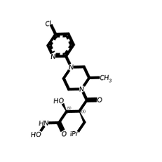 CC(C)C[C@H](C(=O)N1CCN(c2ccc(Cl)cn2)CC1C)[C@H](O)C(=O)NO